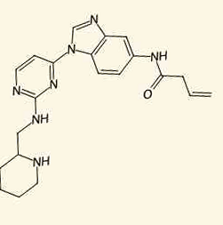 C=CCC(=O)Nc1ccc2c(c1)ncn2-c1ccnc(NCC2CCCCN2)n1